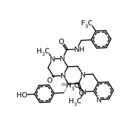 CN(C)c1ncccc1CN1CC2N(C(=O)CN(C)N2C(=O)NCc2ccccc2C(F)(F)F)[C@@H](Cc2ccc(O)cc2)C1=O